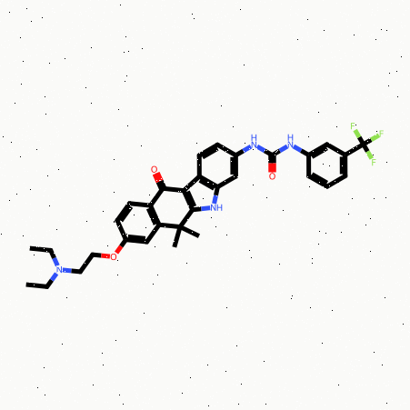 CCN(CC)CCOc1ccc2c(c1)C(C)(C)c1[nH]c3cc(NC(=O)Nc4cccc(C(F)(F)F)c4)ccc3c1C2=O